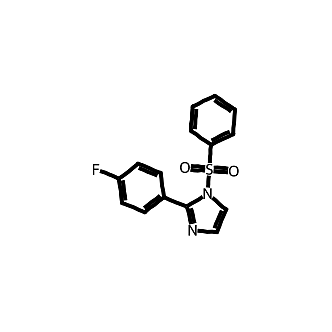 O=S(=O)(c1ccccc1)n1ccnc1-c1ccc(F)cc1